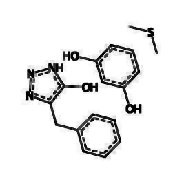 CSC.Oc1[nH]nnc1Cc1ccccc1.Oc1cccc(O)c1